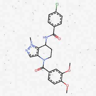 COc1ccc(C(=O)N2CCC(NC(=O)c3ccc(Cl)cc3)c3c2cnn3C)cc1OC